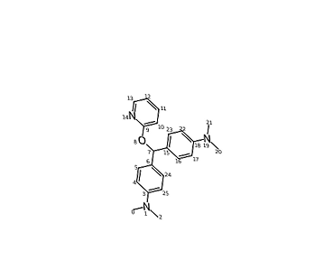 CN(C)c1ccc(C(Oc2ccccn2)c2ccc(N(C)C)cc2)cc1